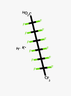 O=C(O)C(F)(F)C(F)(F)C(F)(F)C(F)(F)C(F)(F)C(F)(F)C(F)(F)F.[H-].[K+]